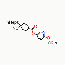 CCCCCCCCCCOc1ccc(OC(=O)[C@H]2CC[C@@](C#N)(CCCCCCC)CC2)cn1